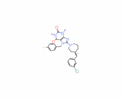 Cn1c(=O)c2c(nc(N3CCC/C(=C/c4cccc(Cl)c4)CC3)n2Cc2ccc(F)cc2)n(C)c1=O